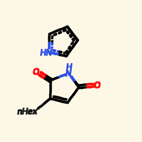 CCCCCCC1=CC(=O)NC1=O.c1cc[nH]c1